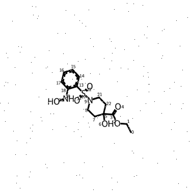 CCOC(=O)C1(O)CCN(S(=O)(=O)c2ccccc2NO)CC1